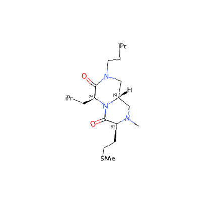 CSCC[C@H]1C(=O)N2[C@H](CN(CCC(C)C)C(=O)[C@@H]2CC(C)C)CN1C